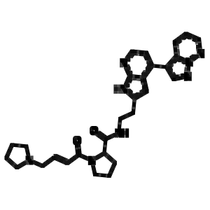 O=C(NCCc1cc2c(-c3cnn4ncccc34)ccnc2[nH]1)C1CCCN1C(=O)C=CCN1CCCC1